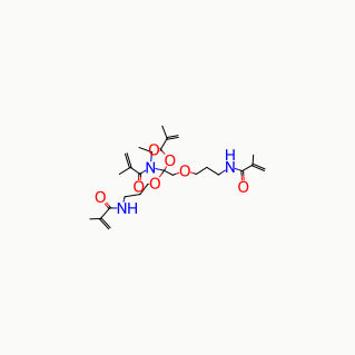 C=C(C)C(=O)NCCCOCC(OCCCNC(=O)C(=C)C)(OC(=O)C(=C)C)N(CC)C(=O)C(=C)C